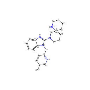 N#Cc1ccc(Cn2c(N3CCC[C@@]4(CCCCN4)C3)nc3ccccc32)nc1